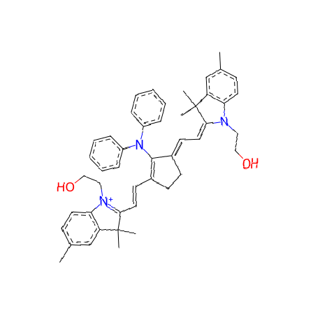 Cc1ccc2c(c1)C(C)(C)C(/C=C/C1=C(N(c3ccccc3)c3ccccc3)C(=C/C=C3/N(CCO)c4ccc(C)cc4C3(C)C)/CC1)=[N+]2CCO